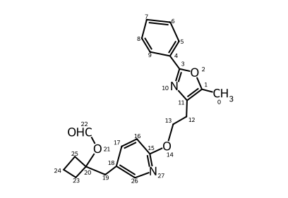 Cc1oc(-c2ccccc2)nc1CCOc1ccc(CC2(OC=O)CCC2)cn1